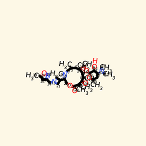 CO[C@]1(C)C[C@@H](C)CN(C)C(C2CN(Cc3cc(C)on3)C2)COC(=O)C(C)(C)C(=O)[C@H](C)[C@H]1O[C@@H]1O[C@H](C)C[C@H](N(C)C)[C@H]1O